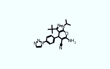 CC(C)n1nc(C(C)(C)C)c2c1OC(N)=C(C#N)C2c1ccc(-n2ccnn2)cc1